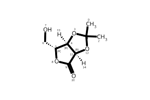 CC1(C)O[C@@H]2[C@@H](CO)OC(=O)[C@@H]2O1